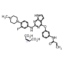 C=CC(=O)Nc1cccc(Oc2nc(Nc3ccc(N4CCN(C)CC4)c(F)c3)nc3[nH]ccc23)c1.O=C(O)/C=C\C(=O)O